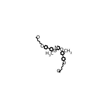 Cc1cc(-c2ccc(OCCCCC3CO3)cc2)ccc1Oc1ccnc(Oc2ccc(-c3ccc(OCCCCC4CO4)cc3)cc2C)c1